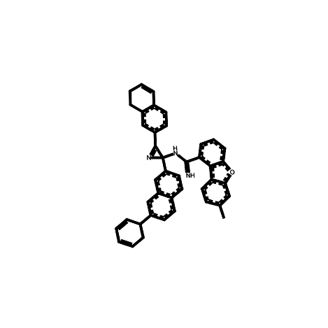 Cc1ccc2c(c1)oc1cccc(C(=N)NC3(c4ccc5ccc(C6C=CC=CC6)cc5c4)N=C3c3ccc4c(c3)CCC=C4)c12